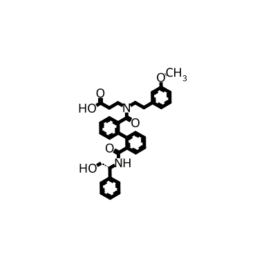 COc1cccc(CCN(CCC(=O)O)C(=O)c2ccccc2-c2ccccc2C(=O)N[C@@H](CO)c2ccccc2)c1